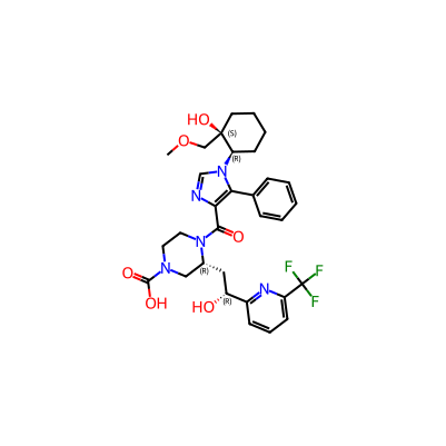 COC[C@]1(O)CCCC[C@H]1n1cnc(C(=O)N2CCN(C(=O)O)C[C@H]2C[C@@H](O)c2cccc(C(F)(F)F)n2)c1-c1ccccc1